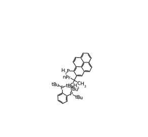 CC(C)(C)P(c1ccccc1P(C(C)(C)C)C(C)(C)C)C(C)(C)C.CCCC(C)(C)c1cc2ccc3cccc4ccc(c1P)c2c34